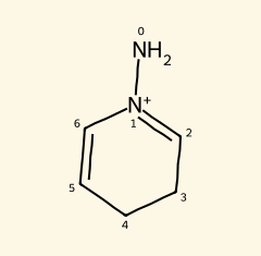 N[N+]1=CCCC=C1